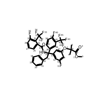 COC(=O)C(C)(C)Oc1cc(F)cc(C(Cc2ccccc2)(NC(=O)c2cccc(F)c2C(F)(F)F)c2ccc(F)c(C(F)(F)F)c2)c1